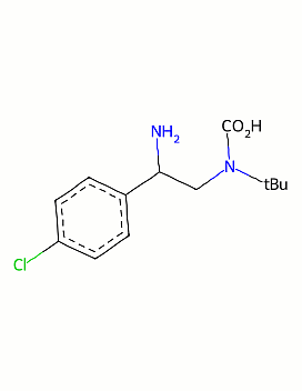 CC(C)(C)N(CC(N)c1ccc(Cl)cc1)C(=O)O